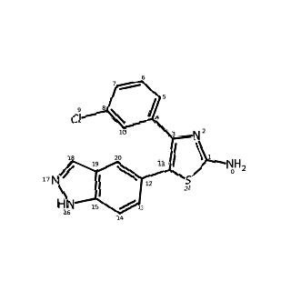 Nc1nc(-c2cccc(Cl)c2)c(-c2ccc3[nH]ncc3c2)s1